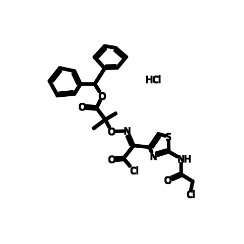 CC(C)(O/N=C(\C(=O)Cl)c1csc(NC(=O)CCl)n1)C(=O)OC(c1ccccc1)c1ccccc1.Cl